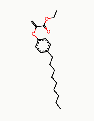 C=C(Oc1ccc(CCCCCCCCC)cc1)C(=O)OCC